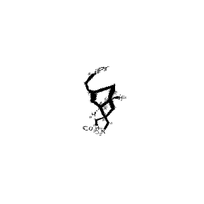 CC(C)CC1=C[C@H]2[C@H](C1)C[C@]2(CC(=O)O)C[N+](=O)[O-]